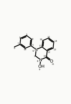 Cc1cccc(N2CN(O)C(=O)c3ccccc32)c1